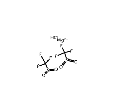 Cl.O=[S-](=O)C(F)(F)F.O=[S-](=O)C(F)(F)F.[Mg+2]